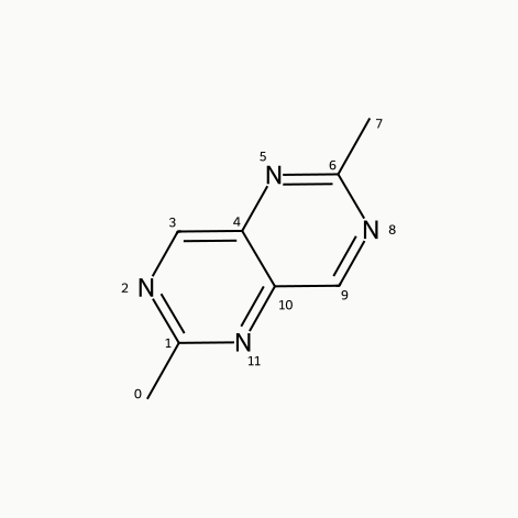 Cc1ncc2nc(C)ncc2n1